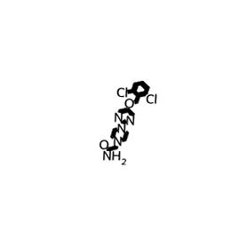 NC(=O)CN1CCN(c2ncc(OCc3c(Cl)cccc3Cl)cn2)CC1